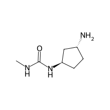 CNC(=O)N[C@@H]1CC[C@@H](N)C1